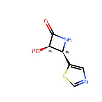 O=C1N[C@@H](c2cncs2)[C@H]1O